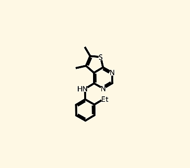 CCc1ccccc1Nc1ncnc2sc(C)c(C)c12